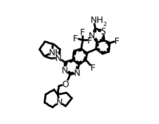 Nc1nc2c(-c3c(C(F)(F)F)cc4c(N5CC6CCC(C5)N6)nc(OCC56CCCCN5CCC6)nc4c3F)ccc(F)c2s1